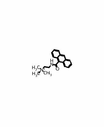 C[N+](C)(C)CCNC(=O)c1c2ccccc2cc2ccccc12